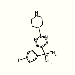 C[C@@](N)(c1ccc(F)cc1)c1cnc(N2CCNCC2)nc1